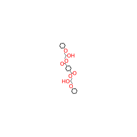 O=C(OCC(O)COc1ccccc1)c1ccc(C(=O)OCC(O)COc2ccccc2)cc1